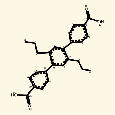 CCCc1cc(-c2ccc(C(=O)O)cc2)c(CCC)cc1-c1ccc(C(=O)O)cc1